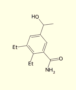 CCc1cc(C(C)O)cc(C(N)=O)c1CC